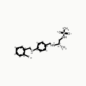 C[C@@H](CNS(C)(=O)=O)NCc1ccc(OCc2ccccc2F)cc1